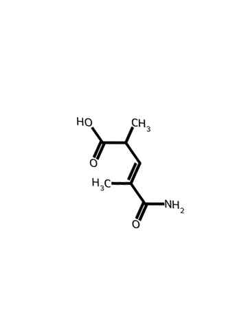 CC(=CC(C)C(=O)O)C(N)=O